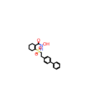 O=C(NO)C1=C(S(=O)(=O)CCc2ccc(-c3ccccc3)cc2)CCCC1